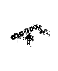 CN(C)C(=O)COC(=O)[C@@H]1CCN(C2CCN(C(=O)[C@@H](Cc3cc(Cl)c(N)c(C(F)(F)F)c3)OC(=O)N3CCC(N4CCc5ccccc5NC4=O)CC3)CC2)C1